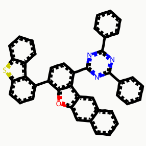 c1ccc(-c2nc(-c3ccccc3)nc(-c3ccc(-c4cccc5sc6ccccc6c45)c4oc5cc6ccccc6cc5c34)n2)cc1